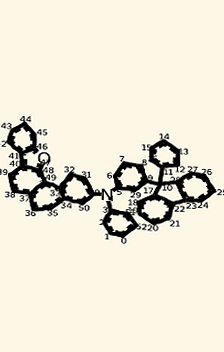 c1ccc(N(c2cccc(C3(c4ccccc4)c4ccccc4-c4ccccc43)c2)c2ccc3c(ccc4ccc5c6ccccc6oc5c43)c2)cc1